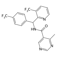 Cc1ncncc1C(=O)NC(c1ccc(C(F)(F)F)cc1)c1ncccc1C(F)(F)F